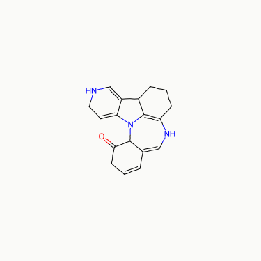 O=C1CC=CC2=CNC3=C4C(CCC3)C3=CNCC=C3N4C12